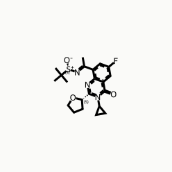 CC(=N[S@+]([O-])C(C)(C)C)c1cc(F)cc2c(=O)n(C3CC3)c([C@@H]3CCCO3)nc12